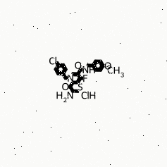 COc1ccc(CNC(=O)C2=CN(Cc3ccc(Cl)cc3)C3C(=O)[C@@H](N)CSC3=C2F)cc1.Cl